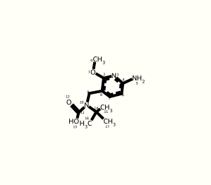 COc1nc(N)ccc1CN(C(=O)O)C(C)(C)C